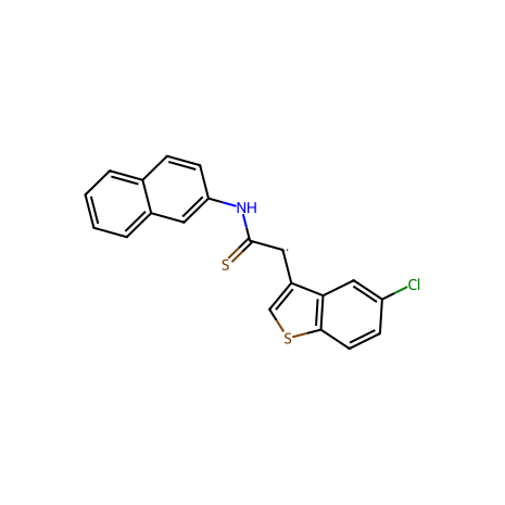 S=C([CH]c1csc2ccc(Cl)cc12)Nc1ccc2ccccc2c1